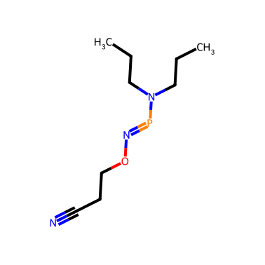 CCCN(CCC)/P=N/OCCC#N